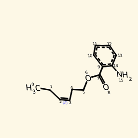 CC/C=C\CCOC(=O)c1ccccc1N